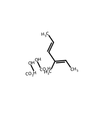 CC=CC(C)=CC.O=C(O)O.O=C(O)O